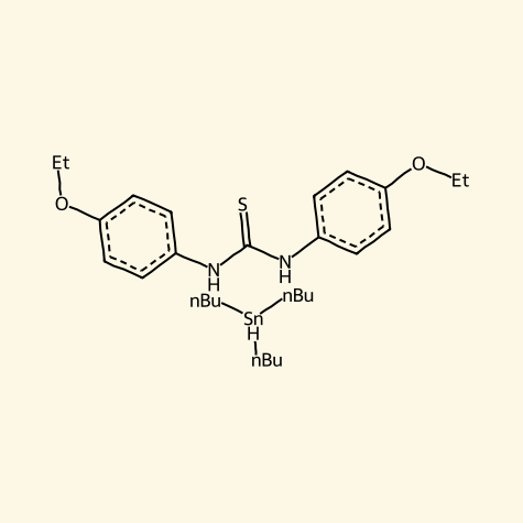 CCC[CH2][SnH]([CH2]CCC)[CH2]CCC.CCOc1ccc(NC(=S)Nc2ccc(OCC)cc2)cc1